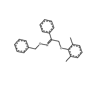 Cc1cccc(C)c1OCC(=NOCc1ccccc1)c1ccccc1